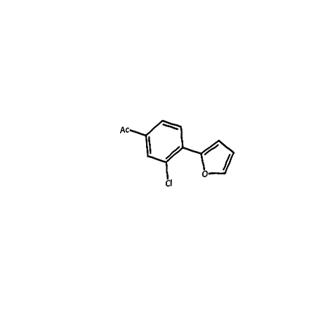 CC(=O)c1ccc(-c2ccco2)c(Cl)c1